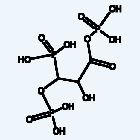 O=C(OP(=O)(O)O)C(O)C(OP(=O)(O)O)P(=O)(O)O